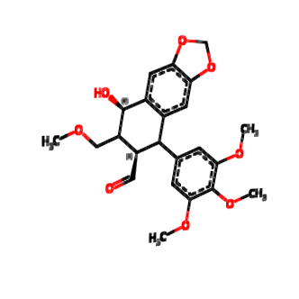 COCC1[C@H](C=O)C(c2cc(OC)c(OC)c(OC)c2)c2cc3c(cc2[C@@H]1O)OCO3